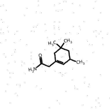 CC1C=C(CC(N)=O)CC(C)(C)C1